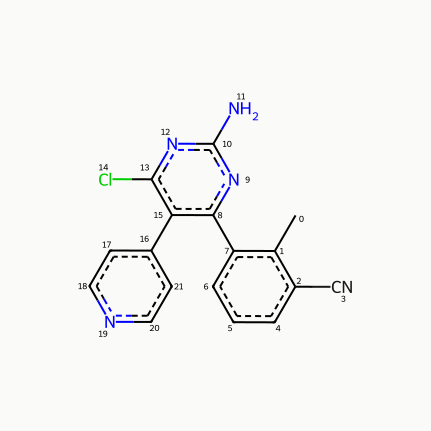 Cc1c(C#N)cccc1-c1nc(N)nc(Cl)c1-c1ccncc1